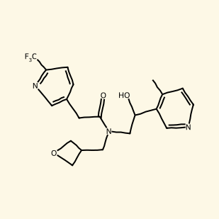 Cc1ccncc1C(O)CN(CC1COC1)C(=O)Cc1ccc(C(F)(F)F)nc1